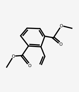 C=Cc1c(C(=O)OC)cccc1C(=O)OC